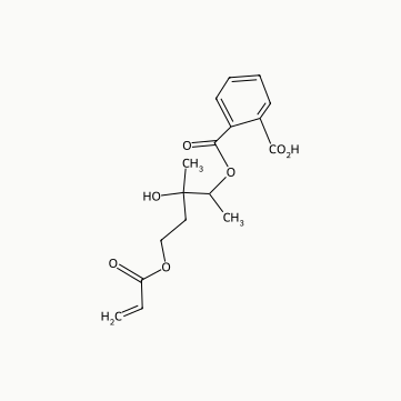 C=CC(=O)OCCC(C)(O)C(C)OC(=O)c1ccccc1C(=O)O